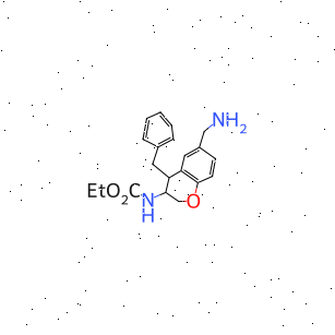 CCOC(=O)NC1COc2ccc(CN)cc2C1Cc1ccccc1